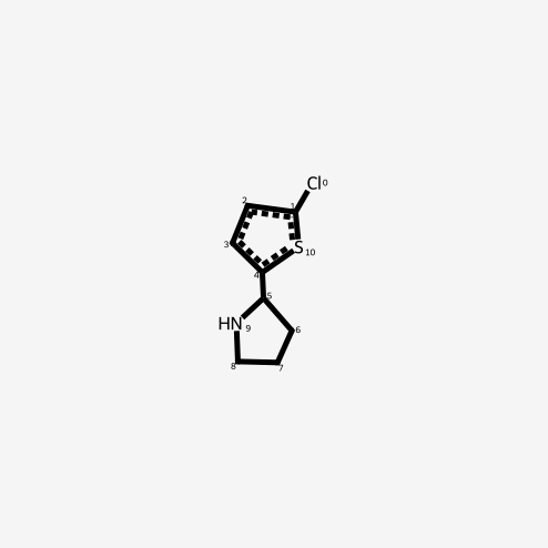 Clc1ccc(C2CCCN2)s1